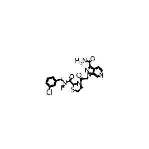 NC(=O)c1nn(CC(=O)N2CCSC2C(=O)N(F)Cc2cccc(Cl)c2)c2cnccc12